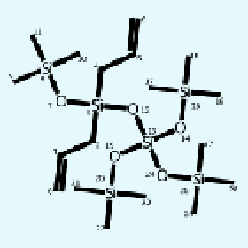 C=CC[Si](CC=C)(O[Si](C)(C)C)O[Si](O[Si](C)(C)C)(O[Si](C)(C)C)O[Si](C)(C)C